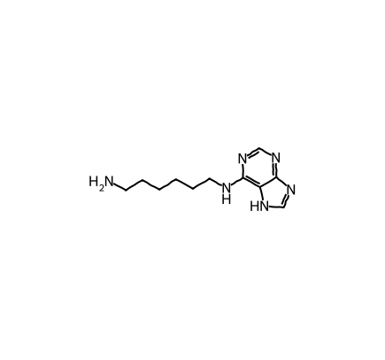 NCCCCCCNc1ncnc2nc[nH]c12